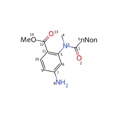 CCCCCCCCCC(=O)N(C)c1cc(N)ccc1C(=O)OC